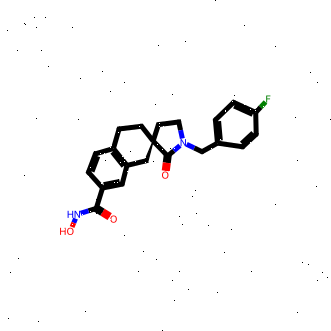 O=C(NO)c1ccc2c(c1)C[C@@]1(CC2)CCN(Cc2ccc(F)cc2)C1=O